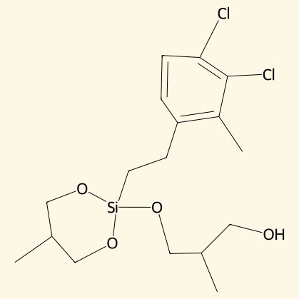 Cc1c(CC[Si]2(OCC(C)CO)OCC(C)CO2)ccc(Cl)c1Cl